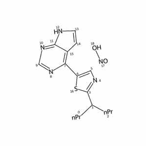 CCCC(CCC)c1ncc(-c2ncnc3[nH]ccc23)s1.O=NO